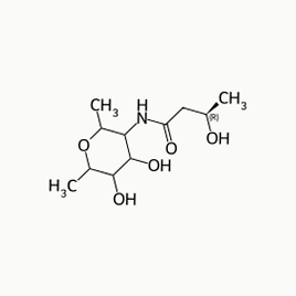 CC1OC(C)C(NC(=O)C[C@@H](C)O)C(O)C1O